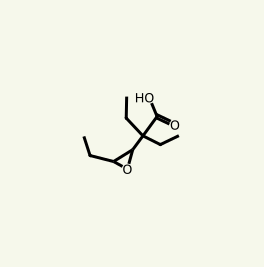 CCC1OC1C(CC)(CC)C(=O)O